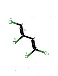 Cl/C=C(\Cl)C=C(Cl)Cl